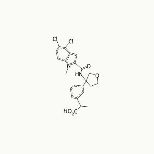 CC(C(=O)O)c1cccc(C2(NC(=O)c3cc4c(Cl)c(Cl)ccc4n3C)CCOC2)c1